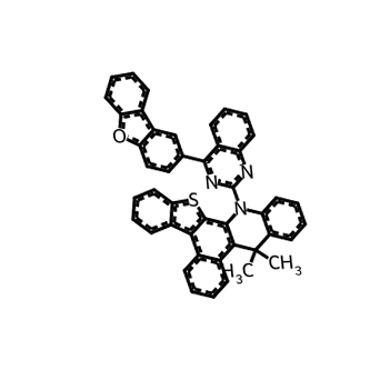 CC1(C)c2ccccc2N(c2nc(-c3ccc4oc5ccccc5c4c3)c3ccccc3n2)c2c1c1ccccc1c1c2sc2ccccc21